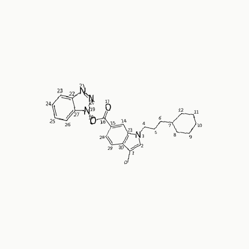 Cc1cn(CCCC2CCCCC2)c2cc(C(=O)On3nnc4ccccc43)ccc12